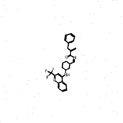 C=C(Cc1ccccc1)C(=O)/N=C\C1CCCC(Nc2cc(C(F)(F)F)nc3ccccc23)C1